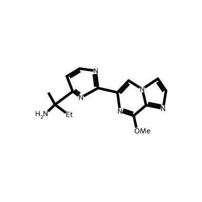 CCC(C)(N)c1ccnc(-c2cn3ccnc3c(OC)n2)n1